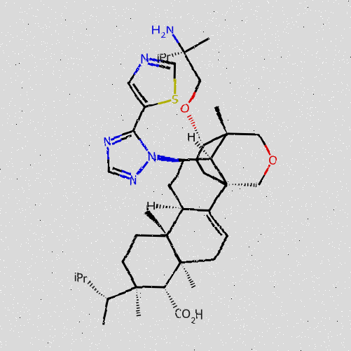 CC(C)[C@@H](C)[C@@]1(C)CC[C@]2(C)[C@H]3CC[C@@H]4[C@@]5(COC[C@@]4(C)[C@@H](OC[C@](C)(N)C(C)C)[C@H](n4ncnc4-c4cncs4)C5)C3=CC[C@@]2(C)[C@@H]1C(=O)O